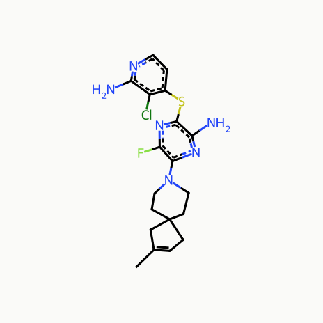 CC1=CCC2(CCN(c3nc(N)c(Sc4ccnc(N)c4Cl)nc3F)CC2)C1